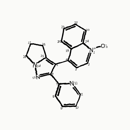 [O-][n+]1ccc(-c2c(-c3ccccn3)nn3c2CCC3)c2ccccc21